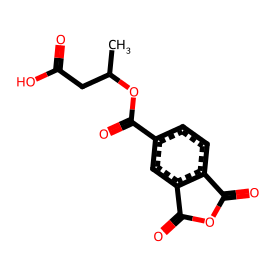 CC(CC(=O)O)OC(=O)c1ccc2c(c1)C(=O)OC2=O